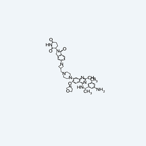 Cc1nc(NC(C)c2cc(N)cc(C(F)(F)F)c2)c2cc(O[C@H]3CCOC3)c(N3CCN(CC4CN(c5ccc6c(c5)CN(C5CCC(=O)NC5=O)C6=O)C4)CC3)cc2n1